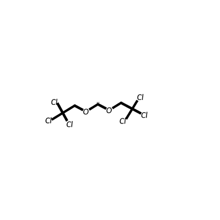 ClC(Cl)(Cl)CO[C]OCC(Cl)(Cl)Cl